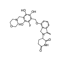 C=C1c2cccc(OCc3c(O)c(O)c(CN4CCOCC4)c(O)c3F)c2CN1C1CCC(=O)NC1=O